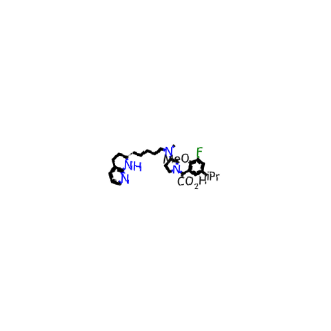 COc1c(F)cc(C(C)C)cc1C(C(=O)O)N1CC[C@@H](N(C)CCCCC[C@H]2CCc3cccnc3N2)C1